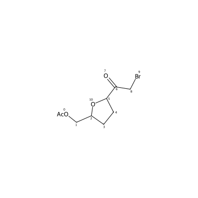 CC(=O)OCC1CCC(C(=O)CBr)O1